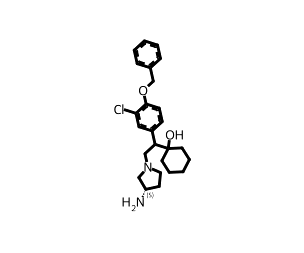 N[C@H]1CCN(CC(c2ccc(OCc3ccccc3)c(Cl)c2)C2(O)CCCCC2)C1